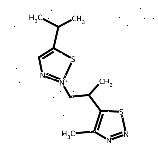 Cc1nnsc1C(C)C[n+]1ncc(C(C)C)s1